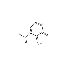 C=C(C)C1=CC=CC(=C)C1=N